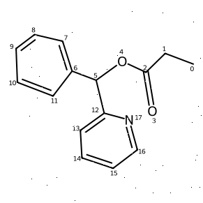 CCC(=O)OC(c1ccccc1)c1ccccn1